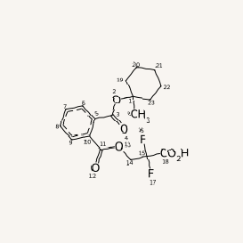 CC1(OC(=O)c2ccccc2C(=O)OCC(F)(F)C(=O)O)CCCCC1